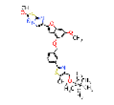 COc1cc(OCc2cccc(-c3nc(CO[Si](C)(C)C(C)(C)C)c(C)s3)c2)c2cc(-c3cn4nc(OC)sc4n3)oc2c1